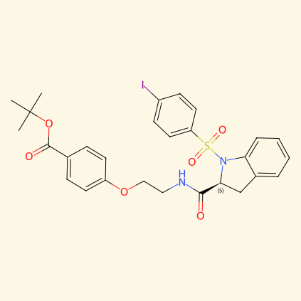 CC(C)(C)OC(=O)c1ccc(OCCNC(=O)[C@@H]2Cc3ccccc3N2S(=O)(=O)c2ccc(I)cc2)cc1